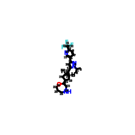 CC(C)n1nc(-c2ccc(C(F)(F)F)nc2)cc1C1[C@H]2CC(C3CNCCCO3)C[C@@H]12